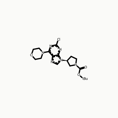 CC(C)(C)OC(=O)N1CC[C@H](n2cnc3c(N4CCOCC4)nc(Cl)nc32)C1